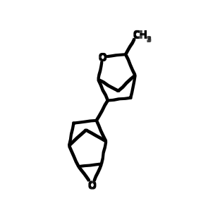 CC1OC2CC1CC2C1CC2CC1C1OC21